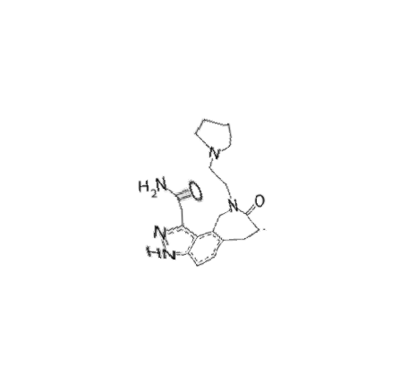 NC(=O)c1n[nH]c2ccc3c(c12)CN(CCN1CCCC1)C(=O)[CH]C3